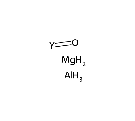 [AlH3].[MgH2].[O]=[Y]